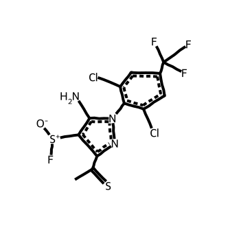 CC(=S)c1nn(-c2c(Cl)cc(C(F)(F)F)cc2Cl)c(N)c1[S+]([O-])F